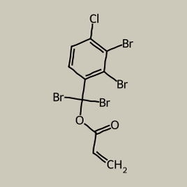 C=CC(=O)OC(Br)(Br)c1ccc(Cl)c(Br)c1Br